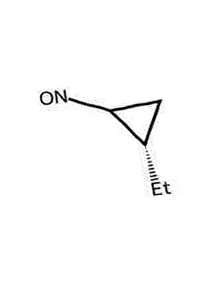 CC[C@H]1CC1N=O